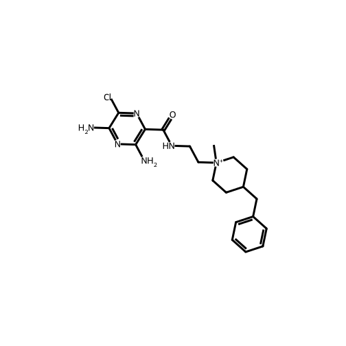 C[N+]1(CCNC(=O)c2nc(Cl)c(N)nc2N)CCC(Cc2ccccc2)CC1